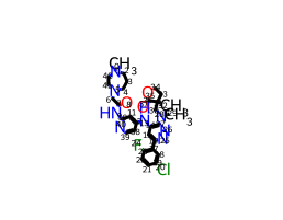 CN1CCCN(CC(=O)Nc2cc(Nc3cc(-c4cc(Cl)ccc4F)nnc3N(C)CC3(C)CCOC3=O)ccn2)CC1